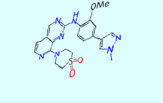 COc1cc(-c2cnn(C)c2)ccc1Nc1ncc2ccnc(N3CCS(=O)(=O)CC3)c2n1